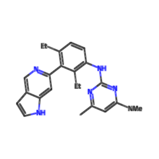 CCc1ccc(Nc2nc(C)cc(NC)n2)c(CC)c1-c1cc2[nH]ccc2cn1